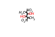 CC(C(O)C(O)C(C)[N+](=O)[O-])[N+](=O)[O-]